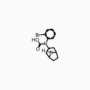 CN1C2CCC1CC(N(C(=O)O)c1ccccc1Br)C2